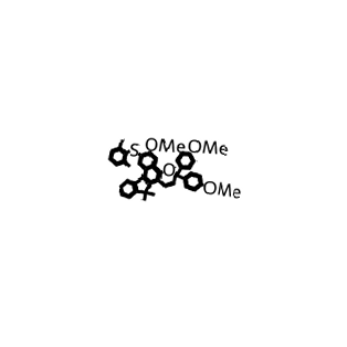 COc1ccc(C2(c3ccc(OC)cc3)C=Cc3c4c(c5cc(Sc6c(C)cccc6C)c(OC)cc5c3O2)-c2ccccc2C4(C)C)cc1